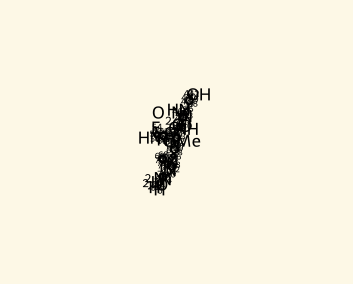 [2H]C([2H])([2H])Oc1nccc(CN2CCN(C3CC4(CCN(c5ccc(C(=O)NS(=O)(=O)c6cnc(NCC7CCC(C)(O)CC7)c([N+](=O)[O-])c6)c(Oc6cc7c(F)c[nH]c7nc6OC)c5)CC4)C3)[C@H](c3ccccc3C(C)C)C2)n1